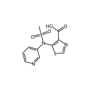 CS(=O)(=O)N(c1cccnc1)c1scnc1C(=O)O